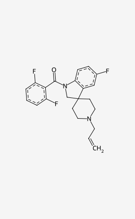 C=CCN1CCC2(CC1)CN(C(=O)c1c(F)cccc1F)c1ccc(F)cc12